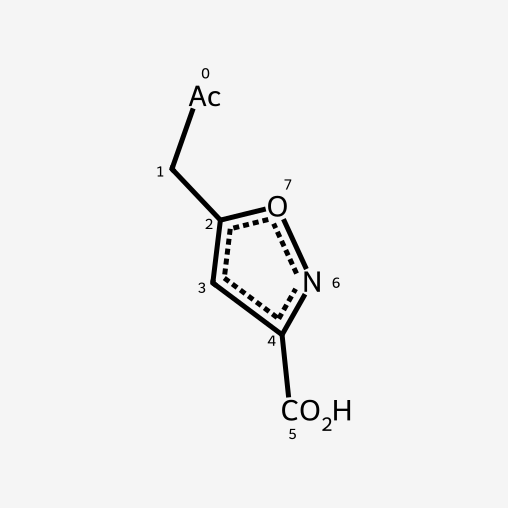 CC(=O)Cc1cc(C(=O)O)no1